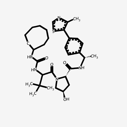 Cc1ncsc1-c1ccc([C@H](C)NC(=O)[C@@H]2C[C@@H](O)CN2C(=O)C(NC(=O)BC2CCCCCCC2)C(C)(C)C)cc1